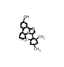 Cc1cc(C)c(-c2cnc3c4cc(O)ccc4c4ccccc4n23)c(C)c1